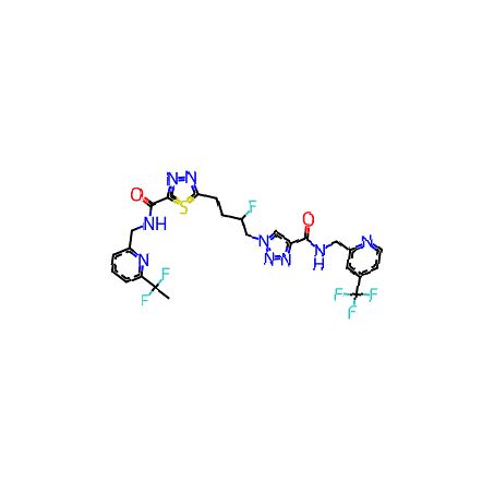 CC(F)(F)c1cccc(CNC(=O)c2nnc(CCC(F)Cn3cc(C(=O)NCc4cc(C(F)(F)F)ccn4)nn3)s2)n1